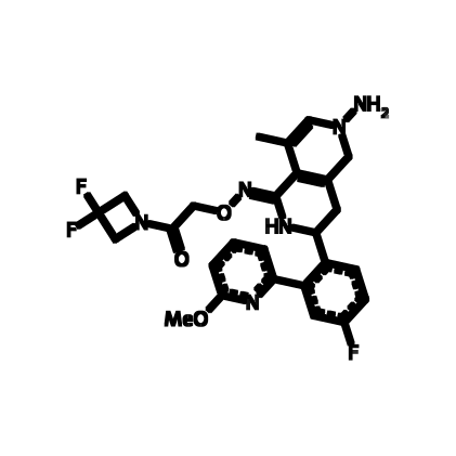 COc1cccc(-c2cc(F)ccc2C2CC3=C(C(C)=CN(N)C3)/C(=N/OCC(=O)N3CC(F)(F)C3)N2)n1